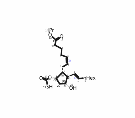 CCCCCC/C=C/[C@@H]1[C@@H](C/C=C\CCCC(=O)OC(C)C)[C@@H](OC(=O)S)C[C@H]1O